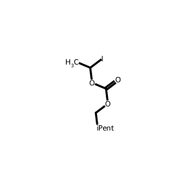 CCCC(C)COC(=O)OC(C)I